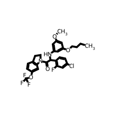 CCCCOc1cc(NC(C(=O)N2CCc3ccc(OC(F)(F)F)cc32)c2ccc(Cl)cc2F)cc(OC)c1